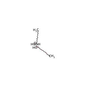 CCCCCCCCCCCCC/C=C/[C@@H](O)[C@H](CO)NC(=O)CCCCCCCCCCCC